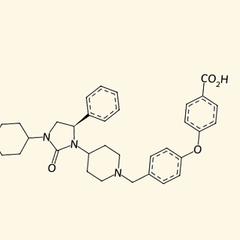 O=C(O)c1ccc(Oc2ccc(CN3CCC(N4C(=O)N(C5CCOCC5)C[C@H]4c4ccccc4)CC3)cc2)cc1